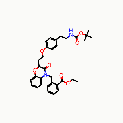 CCOC(=O)c1ccccc1CN1C(=O)C(CCOc2ccc(CCNC(=O)OC(C)(C)C)cc2)Oc2ccccc21